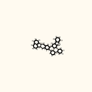 C1=c2cc(-c3cccc(-c4ccccc4)c3)c(-c3ccc4oc5ccccc5c4c3)cc2=CC2c3cccc4cccc(c34)C12